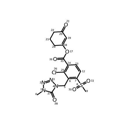 Cn1nnn(Cc2c(S(C)(=O)=O)ccc(C(=O)OC3=CC(=O)CCC3)c2Cl)c1=O